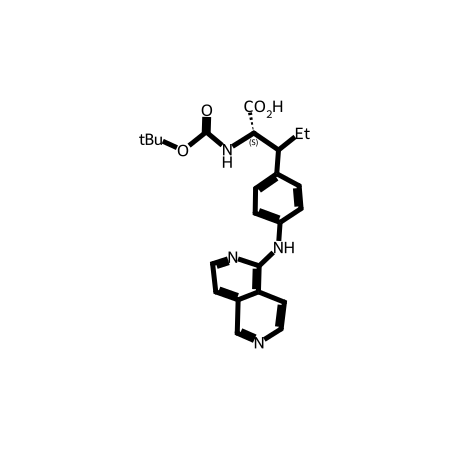 CCC(c1ccc(Nc2nccc3cnccc23)cc1)[C@H](NC(=O)OC(C)(C)C)C(=O)O